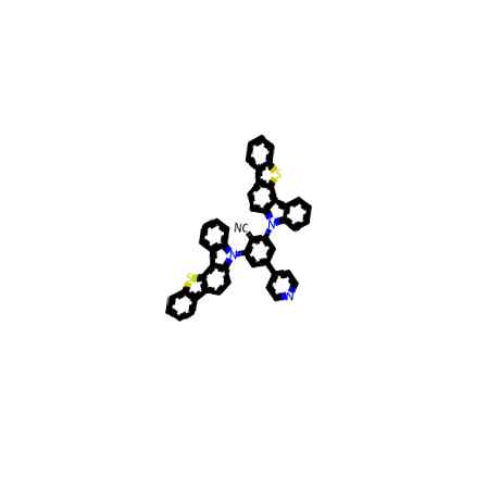 N#Cc1c(-n2c3ccccc3c3c4sc5ccccc5c4ccc32)cc(-c2ccncc2)cc1-n1c2ccccc2c2c3sc4ccccc4c3ccc21